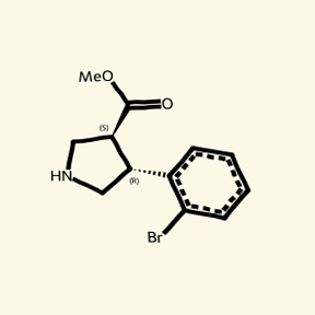 COC(=O)[C@@H]1CNC[C@H]1c1ccccc1Br